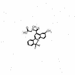 Cc1ccc2nc(-c3ccccc3C(F)(F)F)cc(C(=S)N(C)CC(=O)O)c2c1